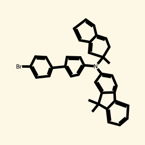 CC1(C)c2ccccc2-c2ccc(N(c3ccc(-c4ccc(Br)cc4)cc3)C3(C)C=c4ccccc4=CC3)cc21